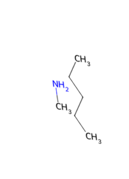 CCCCC.CN